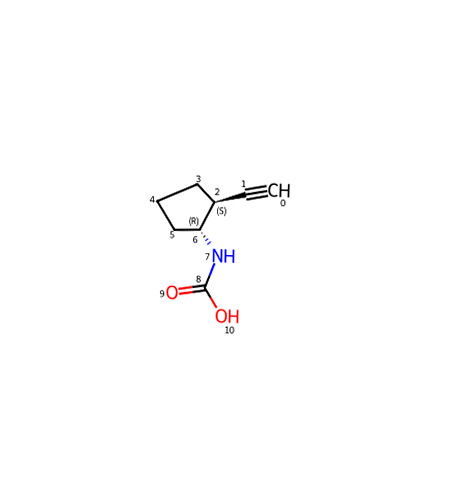 C#C[C@@H]1CCC[C@H]1NC(=O)O